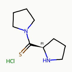 Cl.S=C([C@H]1CCCN1)N1CCCC1